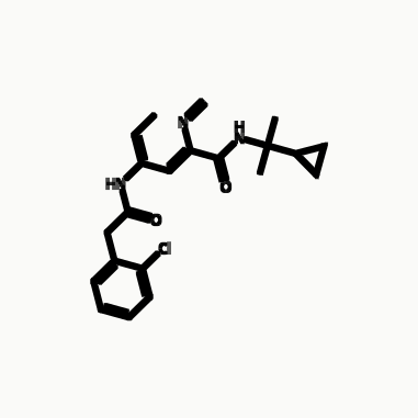 C=N/C(=C\C(=C/C)NC(=O)Cc1ccccc1Cl)C(=O)NC(C)(C)C1CC1